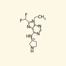 CCn1c(C(F)F)nc2c(N[C@H]3CCNC3)ncnc21